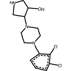 OC1CNCC1N1CCN(c2cccc(Cl)c2Cl)CC1